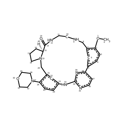 COc1ccc2cc1CNCCNC(=O)[C@@H]1CCCN1Cc1cc(ccc1N1CCOCC1)Nc1nccc-2n1